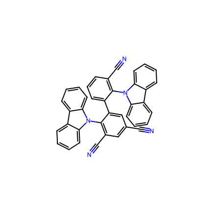 N#Cc1cc(C#N)c(-n2c3ccccc3c3ccccc32)c(-c2cccc(C#N)c2-n2c3ccccc3c3ccccc32)c1